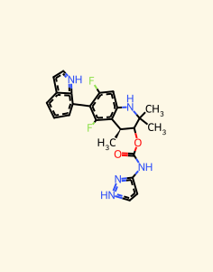 C[C@H]1c2c(cc(F)c(-c3cccc4cc[nH]c34)c2F)NC(C)(C)C1OC(=O)Nc1cc[nH]n1